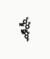 N#Cc1ccc(F)cc1-c1cc(-c2cnnc(-c3ccc(F)cc3F)n2)ccc1F